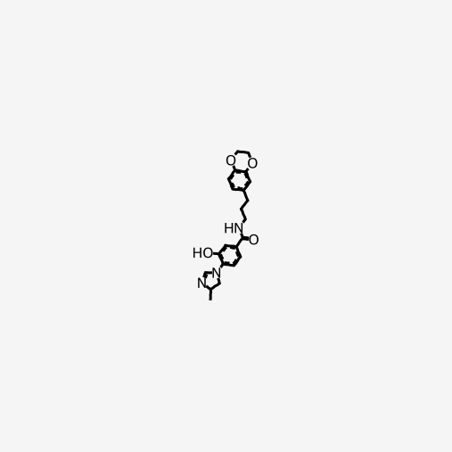 CC1CN(c2ccc(C(=O)NCCCc3ccc4c(c3)OCCO4)cc2O)C=N1